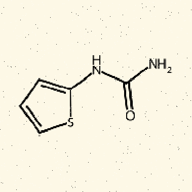 NC(=O)Nc1cc[c]s1